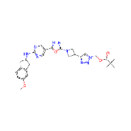 COc1ccc2c(c1)CC(Nc1ncc(-c3nnc(N4CC(c5cn(COC(=O)C(C)(C)C)nn5)C4)o3)cn1)C2